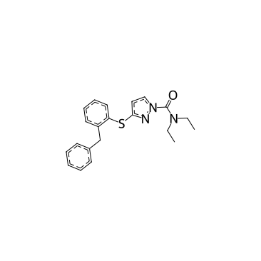 CCN(CC)C(=O)n1ccc(Sc2ccccc2Cc2ccccc2)n1